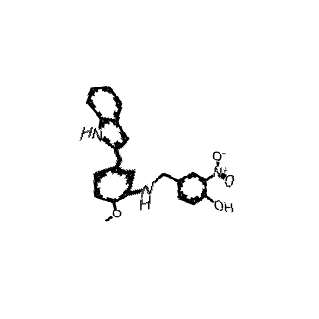 COc1ccc(-c2cc3ccccc3[nH]2)cc1NCc1ccc(O)c([N+](=O)[O-])c1